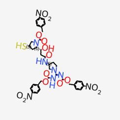 O=C(CC(O)[C@@H]1C[C@H](S)CN1C(=O)OCc1ccc([N+](=O)[O-])cc1)N[C@H]1CCN(C(=NC(=O)OCc2ccc([N+](=O)[O-])cc2)NC(=O)OCc2ccc([N+](=O)[O-])cc2)C1